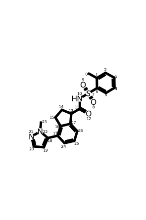 Cc1ccccc1S(=O)(=O)NC(=O)C1CCc2c(-c3ccnn3C)cccc21